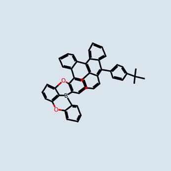 CC(C)(C)c1ccc(-c2c3ccccc3c(-c3ccccc3-c3cccc4c3Oc3cccc5c3B4c3ccccc3O5)c3ccccc23)cc1